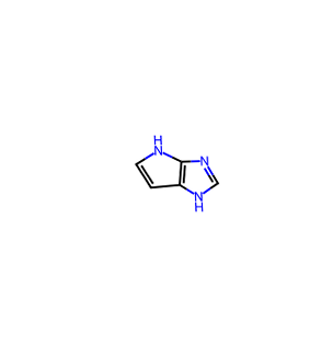 c1nc2[nH]ccc2[nH]1